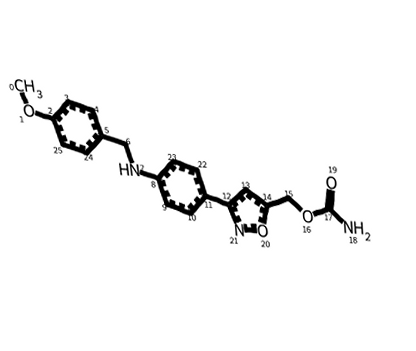 COc1ccc(CNc2ccc(-c3cc(COC(N)=O)on3)cc2)cc1